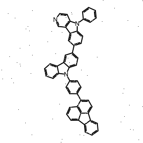 c1ccc(-n2c3ccncc3c3cc(-c4ccc5c(c4)c4ccccc4n5-c4ccc(-c5ccc6c7c(cccc57)-c5ccccc5-6)cc4)ccc32)cc1